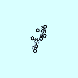 c1ccc(-c2nc(-c3ccc4c(c3)oc3ccccc34)nc(-c3ccc4c(c3)oc3c(-c5nc(-c6ccccc6)c6oc7ccccc7c6n5)cccc34)n2)cc1